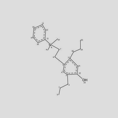 CCCc1cc(CC[Si](C)(C)c2ccccc2)c(CCC)cc1O